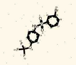 O=S(=O)(Nc1ccc(OC(F)(F)F)cc1)c1cccc(Br)c1